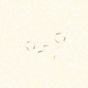 CCC(C)Oc1ccc(CCC(Cc2cc3cc(C)ccc3oc2=O)C(=O)NO)cc1